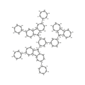 c1ccc(-c2ccc3c(c2)c2cc(-c4ccccc4)ccc2n3-c2cc(-c3cccc(-n4c5ccccc5c5ccccc54)c3)cc(-n3c4ccc(-c5ccccc5)cc4c4cc(-c5ccccc5)ccc43)c2)cc1